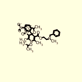 CC1=C([PH2]=O)C(OC(C)C)(c2cccc([N+](=O)[O-])c2)C(C(=O)OCCN(C)Cc2ccccc2)=C(C)N1OC(C)C